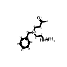 CC(=O)CCN(CCNP)Cc1ccccc1